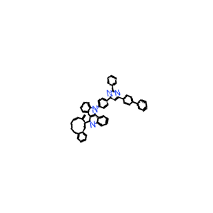 C=C1/C=C\C=C/Cc2ccccc2/C=C\1c1nc2ccccc2c2c1c1ccccc1n2-c1ccc(-c2cc(-c3ccc(-c4ccccc4)cc3)nc(-c3ccccc3)n2)cc1